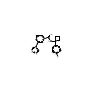 O=C(NC1(c2ccc(Cl)cc2)CCC1)c1cccc(-n2cnnc2)c1